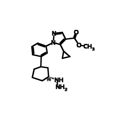 COC(=O)c1cnn(-c2cccc(C3CCC[C@@H](NN)C3)c2)c1C1CC1